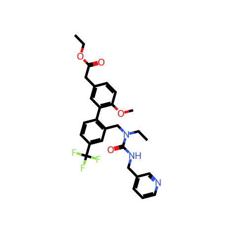 CCOC(=O)Cc1ccc(OC)c(-c2ccc(C(F)(F)F)cc2CN(CC)C(=O)NCc2cccnc2)c1